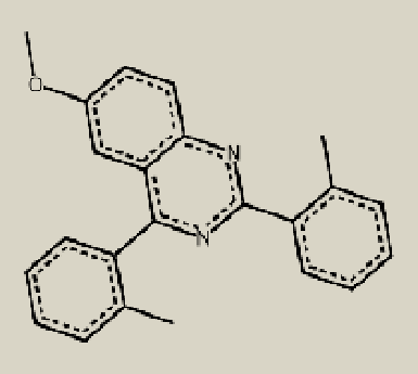 COc1ccc2nc(-c3ccccc3C)nc(-c3ccccc3C)c2c1